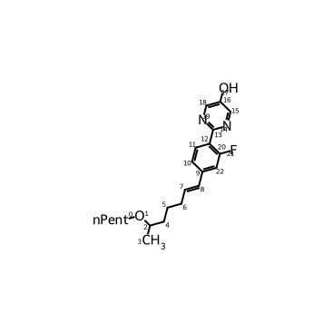 CCCCCOC(C)CCC/C=C/c1ccc(-c2ncc(O)cn2)c(F)c1